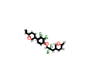 C=CC1CCC(c2ccc(OCC(F)(F)CC3CCC(C)OC3)c(F)c2F)CO1